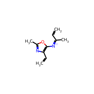 C=C/C(C)=N\c1oc(C)nc1C=C